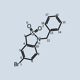 O=S1(=O)Cc2cc(Br)ccc2N1Cc1ccccc1